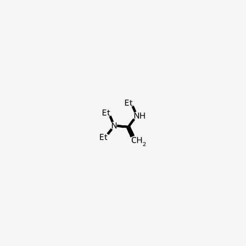 C=C(NCC)N(CC)CC